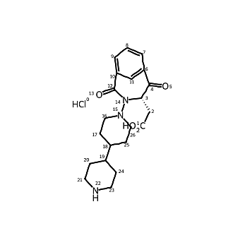 Cl.O=C(O)C[C@H]1C(=O)c2cccc(c2)C(=O)N1N1CCC(C2CCNCC2)CC1